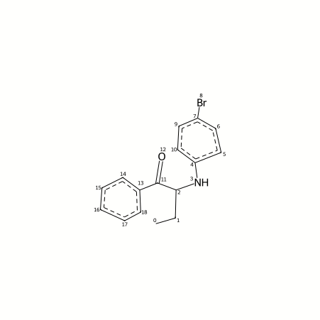 CCC(Nc1ccc(Br)cc1)C(=O)c1ccccc1